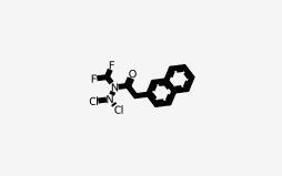 O=C(Cc1ccc2ccccc2c1)N(C(F)F)N(Cl)Cl